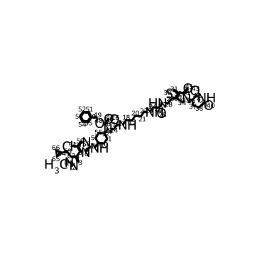 Cn1ncc(-c2nc(NC3CCC(N(CC(=O)NCCCCCNCC(=O)NCc4scc5c4CN(C4CCC(=O)NC4=O)C5=O)C(=O)OCc4ccccc4)CC3)ncc2Cl)c1CC1CC1